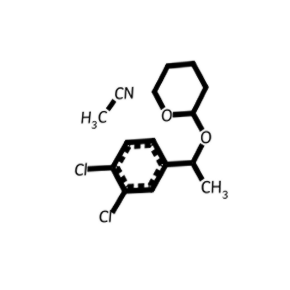 CC#N.CC(OC1CCCCO1)c1ccc(Cl)c(Cl)c1